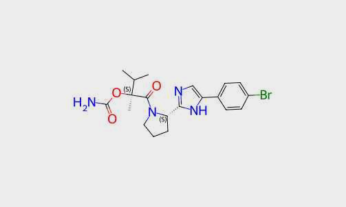 CC(C)[C@](C)(OC(N)=O)C(=O)N1CCC[C@H]1c1ncc(-c2ccc(Br)cc2)[nH]1